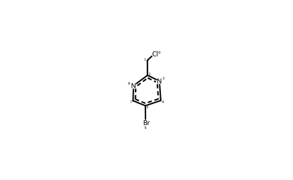 ClCc1ncc(Br)cn1